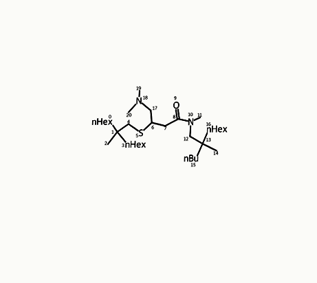 CCCCCCC(C)(CCCCCC)CSC(CC(=O)N(C)CC(C)(CCCC)CCCCCC)CN(C)C